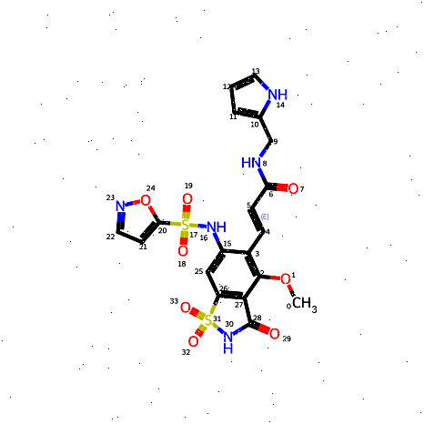 COc1c(/C=C/C(=O)NCc2ccc[nH]2)c(NS(=O)(=O)c2ccno2)cc2c1C(=O)NS2(=O)=O